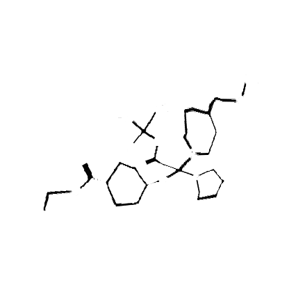 CCOC(=O)[C@H]1CC[C@H](OC(C(=O)OC(C)(C)C)(N2CCCC2)N2CCC(COC)CC2)CC1